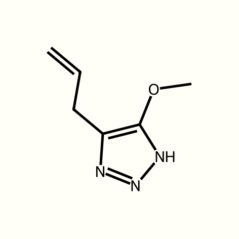 C=CCc1nn[nH]c1OC